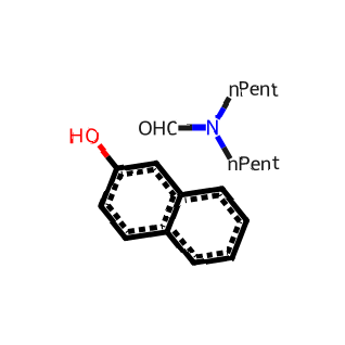 CCCCCN(C=O)CCCCC.Oc1ccc2ccccc2c1